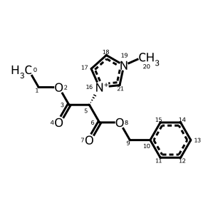 CCOC(=O)[C@@H](C(=O)OCc1ccccc1)[n+]1ccn(C)c1